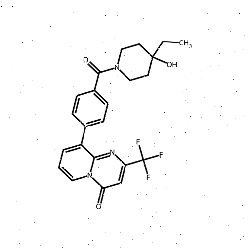 CCC1(O)CCN(C(=O)c2ccc(-c3cccn4c(=O)cc(C(F)(F)F)nc34)cc2)CC1